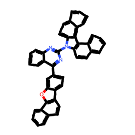 c1ccc2c(c1)ccc1c3ccc(-c4nc(-n5c6ccc7ccccc7c6c6c7ccccc7ccc65)nc5ccccc45)cc3oc21